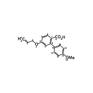 C=CCOc1ccc(C(=O)O)c(-c2ccc(OC)cc2)c1